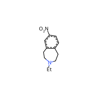 CCN1CCc2ccc([N+](=O)[O-])cc2CC1